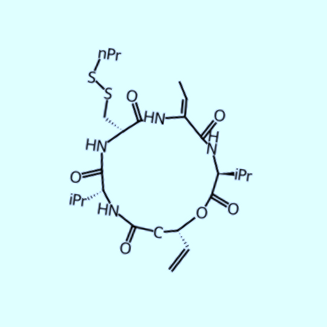 C=C[C@@H]1CC(=O)N[C@H](C(C)C)C(=O)N[C@H](CSSCCC)C(=O)N/C(=C\C)C(=O)N[C@@H](C(C)C)C(=O)O1